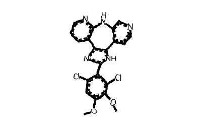 COc1cc(Cl)c(-c2nc3c([nH]2)-c2ccncc2Nc2ncccc2-3)c(Cl)c1OC